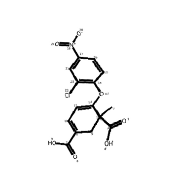 CC1(C(=O)O)CC(C(=O)O)=CC=C1Oc1ccc([N+](=O)[O-])cc1Cl